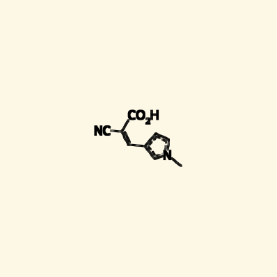 Cn1ccc(C=C(C#N)C(=O)O)c1